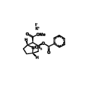 COC(=O)[C@H]1[C@@H](OC(=O)c2ccccc2)C[C@@H]2CC[C@H]1N2C.[I-].[K+]